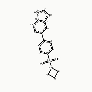 O=S(=O)(c1ccc(-c2cnc3[nH][c]nc3c2)cc1)N1CCC1